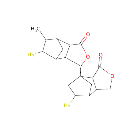 CC1C(S)C2CC1C1C(=O)OC(C34CC(S)C(C3)C3COC(=O)C34)C21